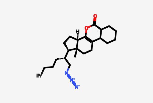 CC(C)CCC[C@@H](CN=[N+]=[N-])[C@H]1CC[C@H]2C3=C(CC[C@]12C)C1CCCCC1C(=O)O3